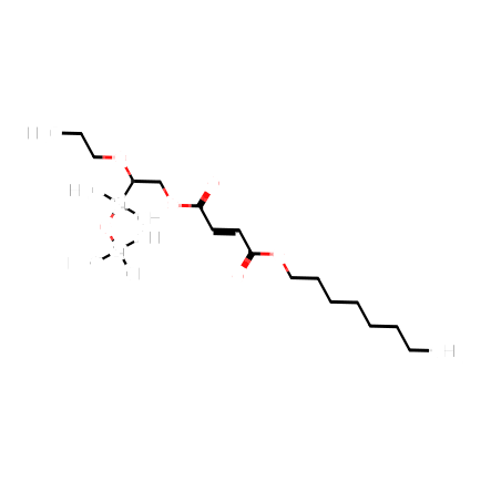 CCCCCCCCOC(=O)C=CC(=O)OCC(OCCC)[Si](C)(C)O[Si](C)(C)C